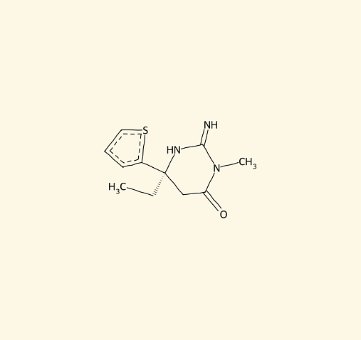 CC[C@@]1(c2cccs2)CC(=O)N(C)C(=N)N1